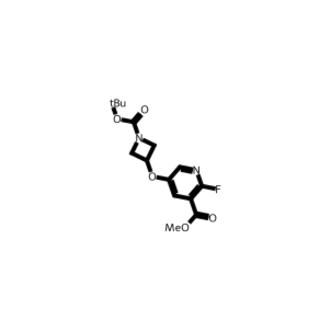 COC(=O)c1cc(OC2CN(C(=O)OC(C)(C)C)C2)cnc1F